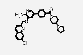 Nc1ncc(-c2ccc(C(=O)N3CCC(N4CCCC4)CC3)cc2)cc1OCc1ccc2ccc(Cl)cc2n1